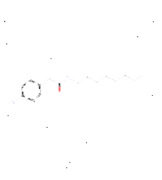 Nc1ccc(CC(=O)NCCCCCCCC(=O)O)cc1